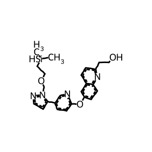 C[SiH](C)CCOCn1nccc1-c1ccc(Oc2ccc3nc(CCO)ccc3c2)nc1